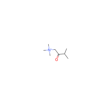 CC(C)C(=O)C[N+](C)(C)C